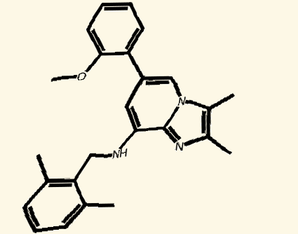 COc1ccccc1-c1cc(NCc2c(C)cccc2C)c2nc(C)c(C)n2c1